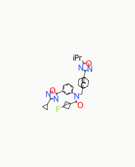 CC(C)c1nc(C23CCC(CN(C(=O)C45CC(F)(C4)C5)c4cccc(-c5nc(C6CC6)no5)c4)(CC2)CC3)no1